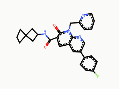 O=C(NC1CC2(CCC2)C1)c1cc2cc(-c3ccc(F)cc3)cnc2n(Cc2ccccn2)c1=O